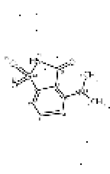 CN(C)c1cccc2c1C(=O)NS2(=O)=O